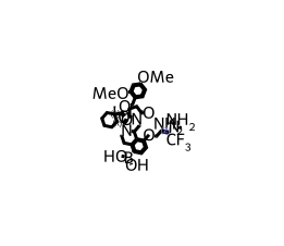 COc1ccc(COC(=O)[C@@]2(C)CCCC[C@H]2C(=O)N2CCc3c(B(O)O)ccc(OC/C(N)=C(/N(C)N)C(F)(F)F)c3C2CN2CCCC2=O)c(OC)c1